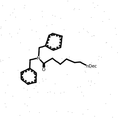 CCCCCCCCCCCCCCCC(=O)N(Cc1ccccc1)Cc1ccccc1